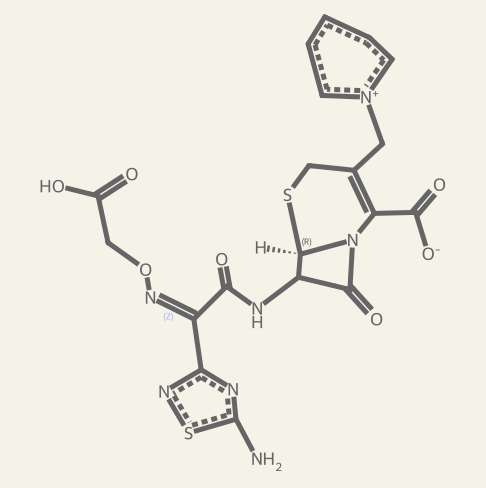 Nc1nc(/C(=N/OCC(=O)O)C(=O)NC2C(=O)N3C(C(=O)[O-])=C(C[n+]4ccccc4)CS[C@H]23)ns1